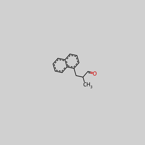 CC(C=O)Cc1cccc2ccccc12